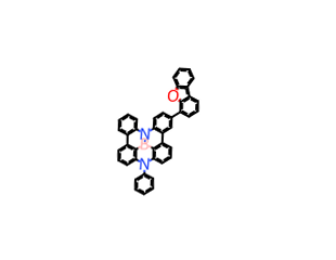 c1ccc(N2c3cccc4c3B3c5c(cccc52)-c2cc(-c5cccc6c5oc5ccccc56)ccc2N3c2ccccc2-4)cc1